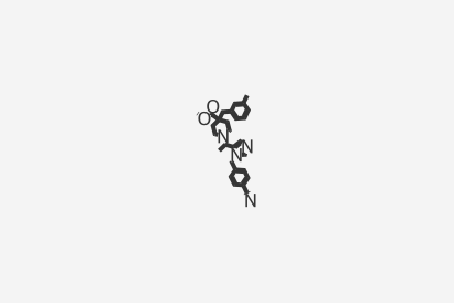 COC(=O)C1(Cc2cccc(C)c2)CCN(C(C)c2cncn2Cc2ccc(C#N)cc2)CC1